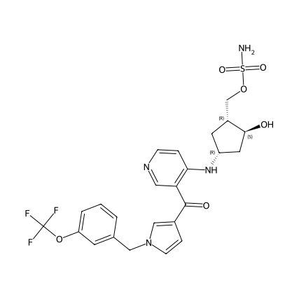 NS(=O)(=O)OC[C@H]1C[C@@H](Nc2ccncc2C(=O)c2ccn(Cc3cccc(OC(F)(F)F)c3)c2)C[C@@H]1O